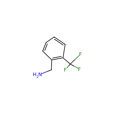 NCc1ccc[c]c1C(F)(F)F